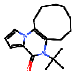 CC(C)(C)n1c2c(n3cccc3c1=O)CCCCCCC2